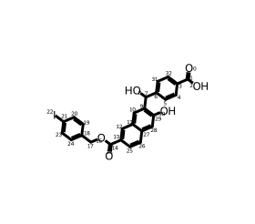 O=C(O)c1ccc(C(O)c2cc3cc(C(=O)OCc4ccc(I)cc4)ccc3cc2O)cc1